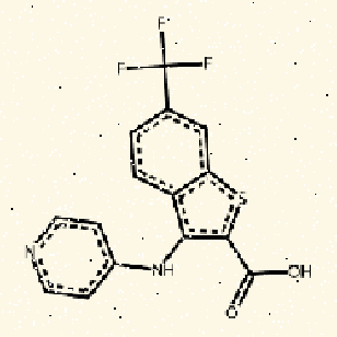 O=C(O)c1sc2cc(C(F)(F)F)ccc2c1Nc1ccncc1